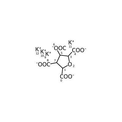 O=C([O-])C1OC(C(=O)[O-])C(C(=O)[O-])C1C(=O)[O-].[K+].[K+].[K+].[K+]